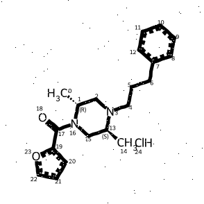 C[C@@H]1CN(CCCc2ccccc2)[C@@H](C)CN1C(=O)c1ccco1.Cl